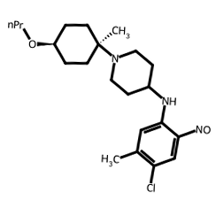 CCCO[C@H]1CC[C@@](C)(N2CCC(Nc3cc(C)c(Cl)cc3N=O)CC2)CC1